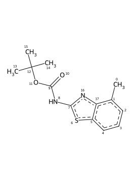 Cc1cccc2sc(NC(=O)OC(C)(C)C)nc12